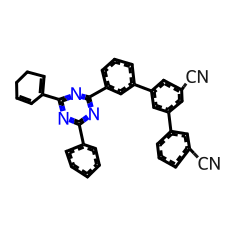 N#Cc1cccc(-c2cc(C#N)cc(-c3cccc(-c4nc(C5=CCCC=C5)nc(-c5ccccc5)n4)c3)c2)c1